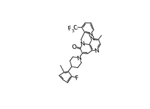 Cc1cnc2cc(N3CCC(c4c(C)cccc4F)CC3)c(=O)n(Cc3ncccc3C(F)(F)F)c2n1